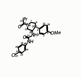 COc1ccc([C@@H]2CCN(C(=O)C(C)C)C[C@H]2NC(=O)Nc2ccc(Cl)cc2)cc1